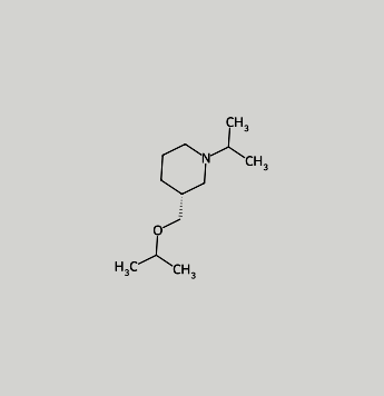 CC(C)OC[C@@H]1CCCN(C(C)C)C1